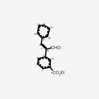 CCOC(=O)c1cccc(/C(C=O)=C/c2ccccc2)c1